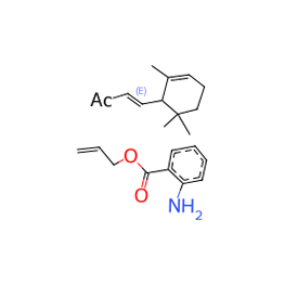 C=CCOC(=O)c1ccccc1N.CC(=O)/C=C/C1C(C)=CCCC1(C)C